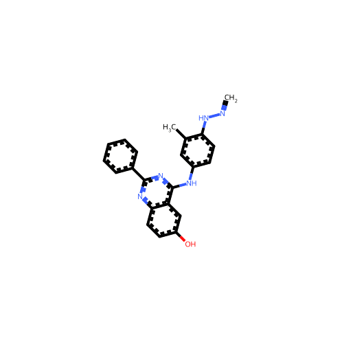 C=NNc1ccc(Nc2nc(-c3ccccc3)nc3ccc(O)cc23)cc1C